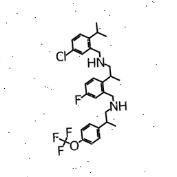 CC(C)c1ccc(Cl)cc1CNCC(C)c1ccc(F)cc1CNCC(C)c1ccc(OC(F)(F)F)cc1